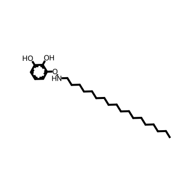 CCCCCCCCCCCCCCCCCCNOc1cccc(O)c1O